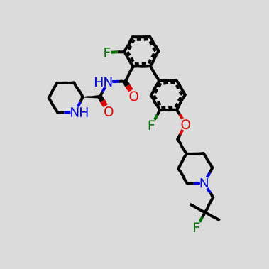 CC(C)(F)CN1CCC(COc2ccc(-c3cccc(F)c3C(=O)NC(=O)[C@@H]3CCCCN3)cc2F)CC1